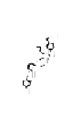 O=C(O)c1ccc2nc(CN3CCN(c4cccc(NCc5ccc(Cl)cc5F)n4)CC3)n(CC3CCO3)c2c1